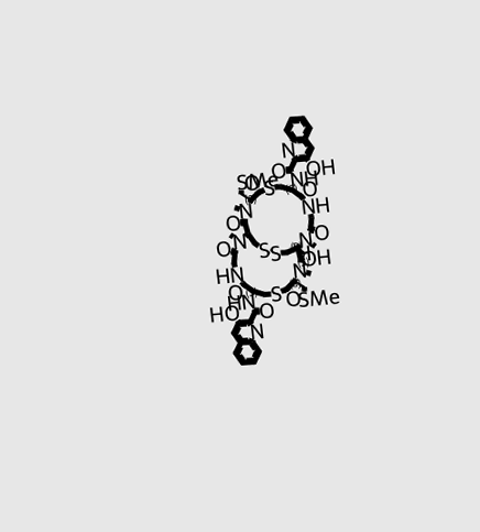 CSC[C@H]1C(=O)SC[C@@H](NC(=O)c2nc3ccccc3cc2O)C(=O)NCC(=O)N(C)[C@H]2CSSCC(C(=O)N1C)N(C)C(=O)CNC(=O)[C@H](NC(=O)c1nc3ccccc3cc1O)CSC(=O)[C@H](CSC)N(C)[C@H]2O